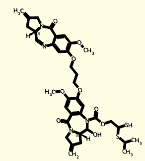 C=C1C[C@H]2C=Nc3cc(OCCCOc4cc5c(cc4OC)C(=O)N4CC(=C)C[C@H]4C(O)N5C(=O)OCC(S)SC(C)C)c(OC)cc3C(=O)N2C1